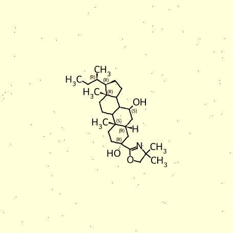 CC[C@@H](C)[C@H]1CCC2C3C(CC[C@@]21C)[C@@]1(C)CC[C@](O)(C2=NC(C)(C)CO2)C[C@H]1C[C@@H]3O